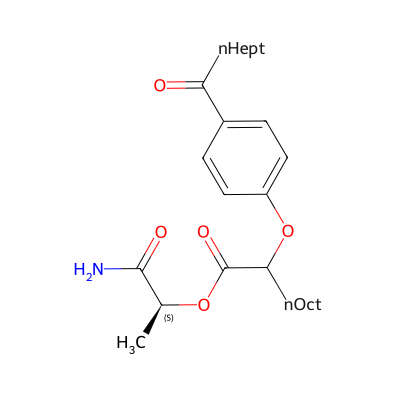 CCCCCCCCC(Oc1ccc(C(=O)CCCCCCC)cc1)C(=O)O[C@@H](C)C(N)=O